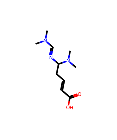 CN(C)C=NC(CC=CC(=O)O)N(C)C